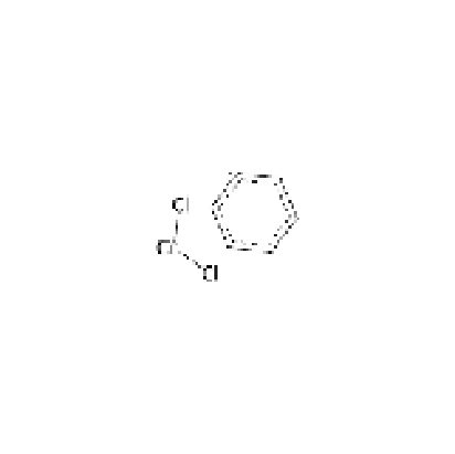 [Cl][Cr][Cl].[c]1ccccc1